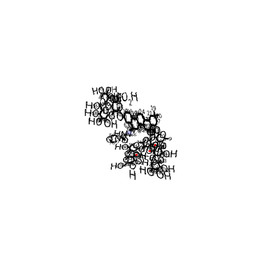 CC(=O)OC1C(C)OC(OC2C(C)OC(OC(=O)[C@]34CCC(C)(C)CC3C3=CCC5[C@@]6(C)CC[C@H](OC7OC(C(=O)O)C(O)C(OC8OCC(O)C(O)C8O)C7OC7OC(CO)C(O)C(O)C7O)CC6[C@@](C)(/C=N/NC(=O)N6CCOCC6)C[C@@]5(C)[C@]3(C)C[C@H]4O)C(OC3OC(C)C(OC4OCC(O)C(OC5OC(CO)C(O)C(O)C5O)C4O)C(O)C3O)C2O)C(O)C1OC1OCC(O)C(O)C1O